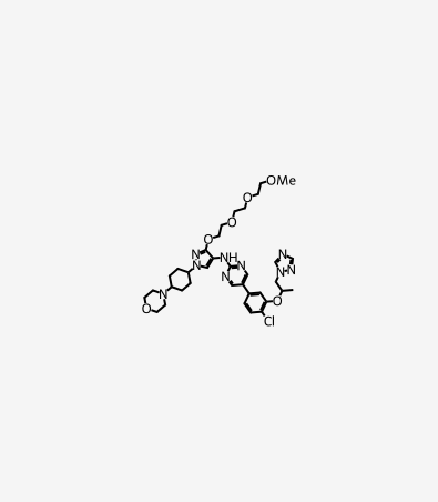 COCCOCCOCCOc1nn(C2CCC(N3CCOCC3)CC2)cc1Nc1ncc(-c2ccc(Cl)c(OC(C)Cn3cncn3)c2)cn1